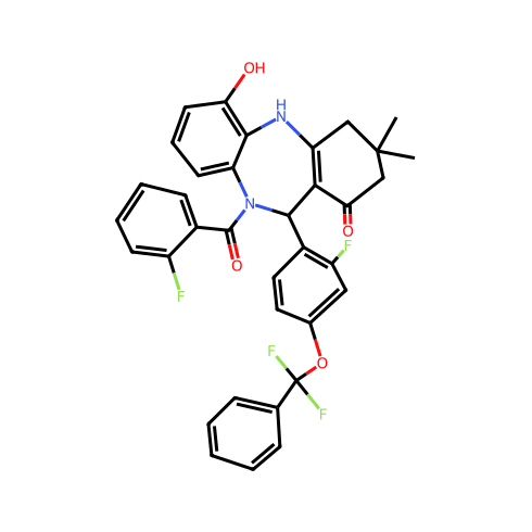 CC1(C)CC(=O)C2=C(C1)Nc1c(O)cccc1N(C(=O)c1ccccc1F)C2c1ccc(OC(F)(F)c2ccccc2)cc1F